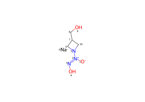 [Na].[O-][N+](=NO)N1CC(CO)C1